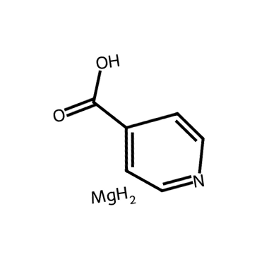 O=C(O)c1ccncc1.[MgH2]